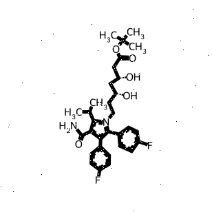 CC(C)c1c(C(N)=O)c(-c2ccc(F)cc2)c(-c2ccc(F)cc2)n1CC[C@@H](O)C[C@@H](O)CC(=O)OC(C)(C)C